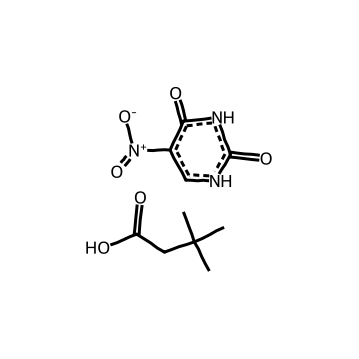 CC(C)(C)CC(=O)O.O=c1[nH]cc([N+](=O)[O-])c(=O)[nH]1